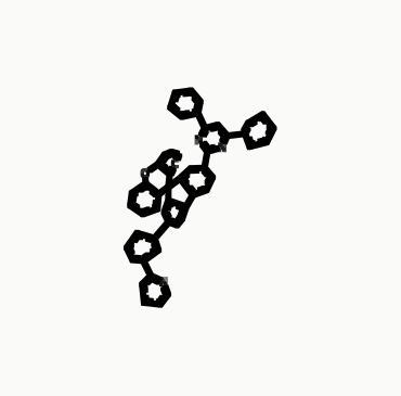 c1ccc(-c2cc(-c3ccccc3)nc(-c3ccc4c(c3)C3(c5ccccc5Oc5ccccc53)c3cc(-c5cccc(-c6ccccn6)c5)ccc3-4)n2)cc1